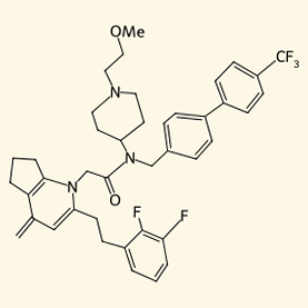 C=C1C=C(CCc2cccc(F)c2F)N(CC(=O)N(Cc2ccc(-c3ccc(C(F)(F)F)cc3)cc2)C2CCN(CCOC)CC2)C2=C1CCC2